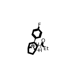 CCC(=O)[C@@H]1[C@H]2CCC(C[C@H]1c1ccc(F)cc1)N2C